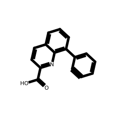 O=C(O)c1ccc2cccc(-c3c#cccc3)c2n1